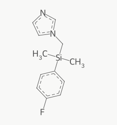 C[Si](C)(Cn1ccnc1)c1ccc(F)cc1